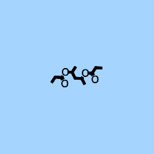 CCC(=O)OC(C)CC(C)OC(=O)CC